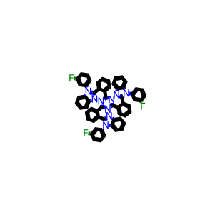 Fc1cccc(-n2c(-c3ccccc3-c3nc(-c4ccccc4-c4nc5ccccc5n4-c4cccc(F)c4)nc(-c4ccccc4-c4nc5ccccc5n4-c4cccc(F)c4)n3)nc3ccccc32)c1